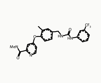 CNC(=O)c1cc(Oc2ccc(CNC(=O)Nc3cccc(C(F)(F)F)c3)cc2C)ccn1